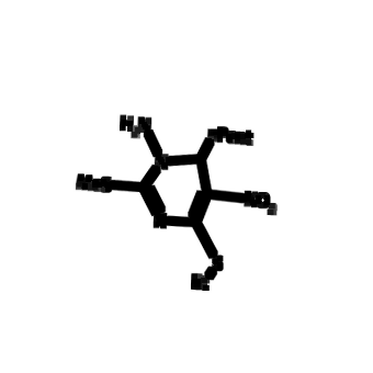 CCCCCC1C([N+](=O)[O-])=C(SCC)N=C(SC)N1N